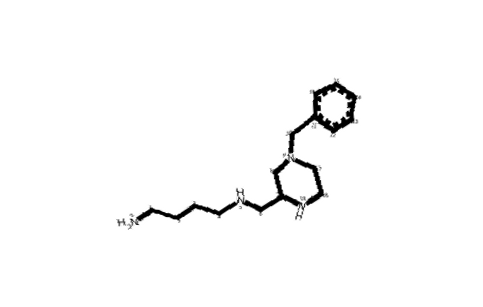 NCCCCNCC1CN(Cc2ccccc2)CCN1